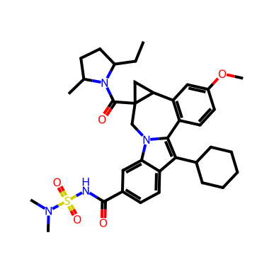 CCC1CCC(C)N1C(=O)C12CC1c1cc(OC)ccc1-c1c(C3CCCCC3)c3ccc(C(=O)NS(=O)(=O)N(C)C)cc3n1C2